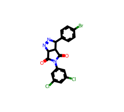 O=C1C2N=NC(c3ccc(Br)cc3)C2C(=O)N1c1cc(Cl)cc(Cl)c1